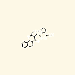 O=C(C1CCc2ccccc2C1)C1C(=S)CN[C@@H]1C(=O)N1CCC[C@H]1C(=O)O